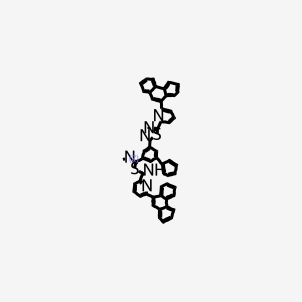 C/N=C(\SC(=N)c1cccc(-c2cc3ccccc3c3ccccc23)n1)c1cc(-c2ccccc2)cc(-c2nnc(-c3cccc(-c4cc5ccccc5c5ccccc45)n3)s2)c1